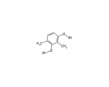 Cc1ccc(OC(C)C)c(C)c1OC(C)C